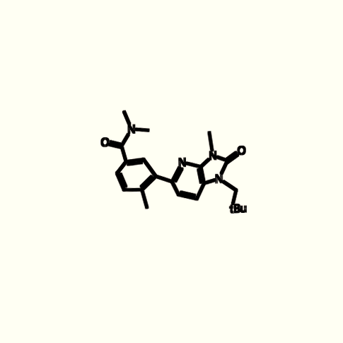 Cc1ccc(C(=O)N(C)C)cc1-c1ccc2c(n1)n(C)c(=O)n2CC(C)(C)C